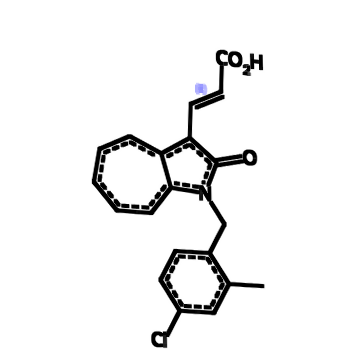 Cc1cc(Cl)ccc1Cn1c2cccccc-2c(/C=C/C(=O)O)c1=O